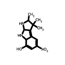 CC1NC2NC3C(O)=CC([N+](=O)[O-])=CC3=C2C1(C)C